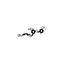 CN(CC=CC#CC(C)(C)C)Cc1cccc(OCc2cccc(C(F)(F)F)c2)c1.Cl